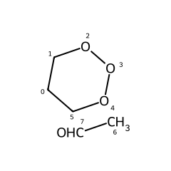 C1COOOC1.CC=O